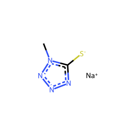 Cn1nnnc1[S-].[Na+]